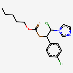 CCCCCOC(=S)SC(c1ccc(Cl)cc1)C(Cl)n1ccnc1